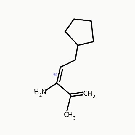 C=C(C)/C(N)=C\CC1CCCC1